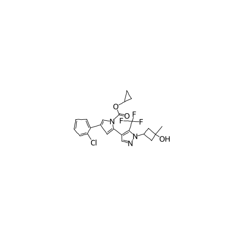 CC1(O)CC(n2ncc(-c3cc(-c4ccccc4Cl)cn3C(=O)OC3CC3)c2C(F)(F)F)C1